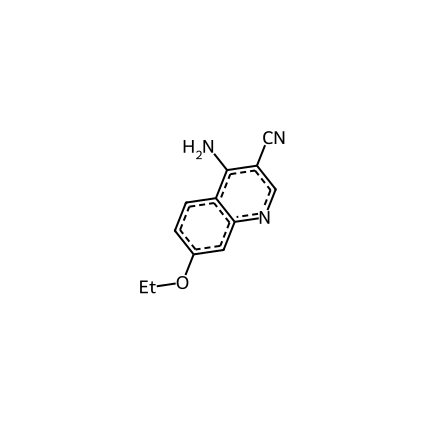 CCOc1ccc2c(N)c(C#N)cnc2c1